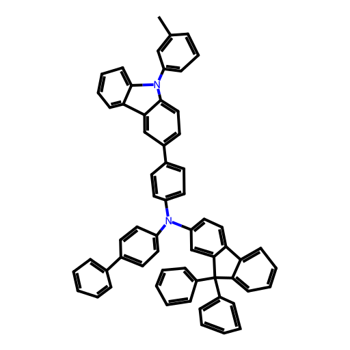 Cc1cccc(-n2c3ccccc3c3cc(-c4ccc(N(c5ccc(-c6ccccc6)cc5)c5ccc6c(c5)C(c5ccccc5)(c5ccccc5)c5ccccc5-6)cc4)ccc32)c1